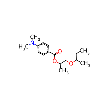 CCC(C)OCC(C)OC(=O)c1ccc(N(C)C)cc1